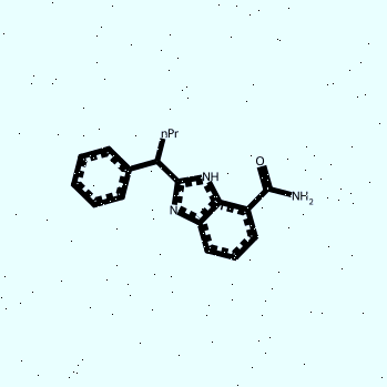 CCCC(c1ccccc1)c1nc2cccc(C(N)=O)c2[nH]1